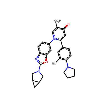 N#Cc1cc(-c2cc(=O)c(C(=O)O)cn2-c2ccc3nc(N4CC5CC5C4)oc3c2)ccc1N1CCCC1